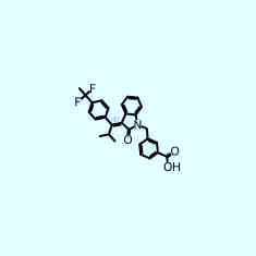 CC(C)/C(=C1\C(=O)N(Cc2cccc(C(=O)O)c2)c2ccccc21)c1ccc(C(C)(F)F)cc1